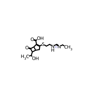 CC/N=C/NCCSC1=C(C(=O)O)C2C(=O)C(C(C)O)C2C1